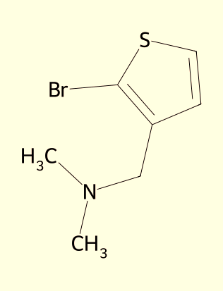 CN(C)Cc1ccsc1Br